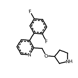 Fc1ccc(F)c(-c2cccnc2COC2CCNC2)c1